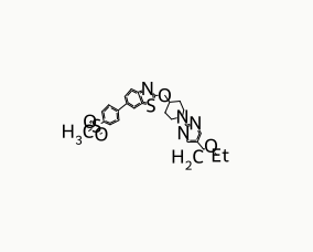 C=C(OCC)c1cnc(N2CCC(Oc3nc4ccc(-c5ccc(S(C)(=O)=O)cc5)cc4s3)CC2)nc1